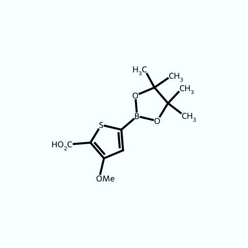 COc1cc(B2OC(C)(C)C(C)(C)O2)sc1C(=O)O